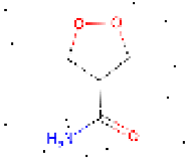 NC(=O)C1COOC1